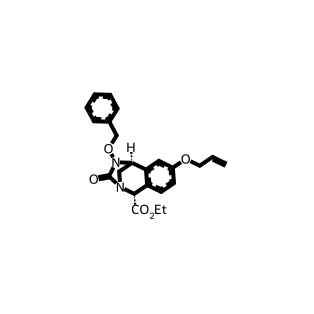 C=CCOc1ccc2c(c1)[C@H]1CN(C(=O)N1OCc1ccccc1)[C@H]2C(=O)OCC